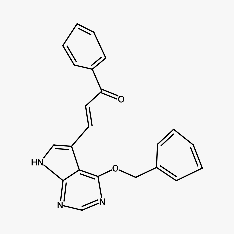 O=C(/C=C/c1c[nH]c2ncnc(OCc3ccccc3)c12)c1ccccc1